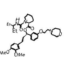 CCC(CC)NC(=O)N1CCCC[C@H]1C(=O)O[C@H](CCc1ccc(OC)c(OC)c1)c1cccc(OCCN2CCOCC2)c1